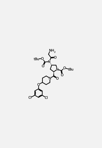 CC(C)(C)OC(=O)N1C[C@@H](N(C(=O)CN)C(=O)OC(C)(C)C)C[C@@H]1C(=O)N1CCC(Oc2cc(Cl)cc(Cl)c2)CC1